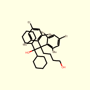 CCc1cc(C(C)(C)C)c(C(CCCCO)(c2c(C(C)(C)C)cc(CC)cc2C(C)(C)C)C(O)(C2CCCCC2)C2CCCCC2)c(C(C)(C)C)c1